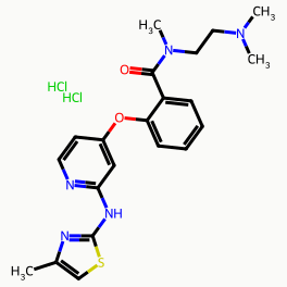 Cc1csc(Nc2cc(Oc3ccccc3C(=O)N(C)CCN(C)C)ccn2)n1.Cl.Cl